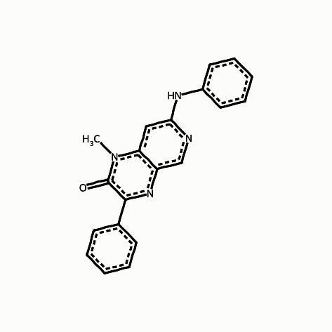 Cn1c(=O)c(-c2ccccc2)nc2cnc(Nc3ccccc3)cc21